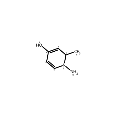 NN1C=CC(O)=CC1C(F)(F)F